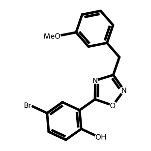 COc1cccc(Cc2noc(-c3cc(Br)ccc3O)n2)c1